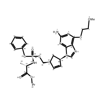 COCCOc1nc(N)nc2c1ncn2[C@H]1C=C[C@@H](CO[P@](=O)(N[C@@H](C)C(=O)OC(C)C)Oc2ccccc2)C1